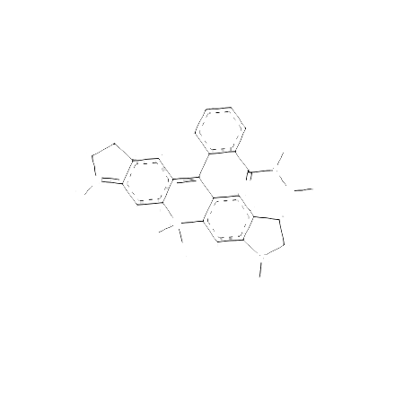 [BH3-]BN(C)C(=O)c1ccccc1C1=c2cc3c(cc2S(C)(C)c2cc4c(cc21)CCN4C)=[N+](C)CC3